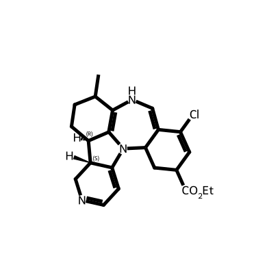 CCOC(=O)C1C=C(Cl)C2=CNC3=C4[C@H](CCC3C)[C@H]3CN=CC=C3N4C2C1